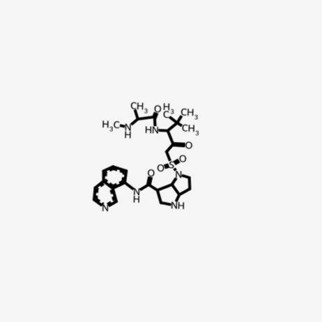 CNC(C)C(=O)NC(C(=O)CS(=O)(=O)N1CCC2NCC(C(=O)Nc3cccc4ccncc34)C21)C(C)(C)C